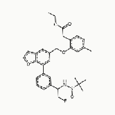 CCOC(=O)Cc1ccc(C)cc1OCc1cc(-c2cccc(C(CF)N[S+]([O-])C(C)(C)C)c2)c2occc2c1